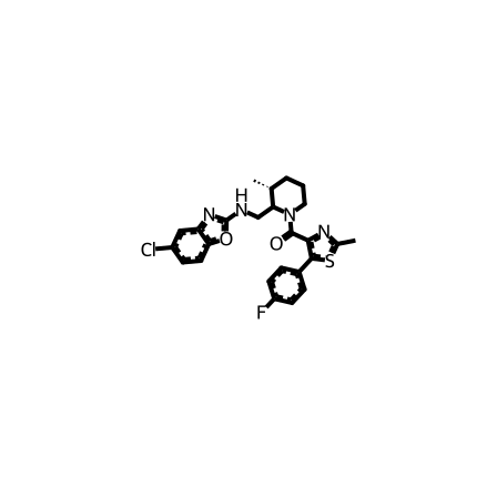 Cc1nc(C(=O)N2CCC[C@@H](C)C2CNc2nc3cc(Cl)ccc3o2)c(-c2ccc(F)cc2)s1